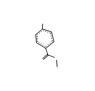 O=NOC(=O)c1ccc(F)cc1